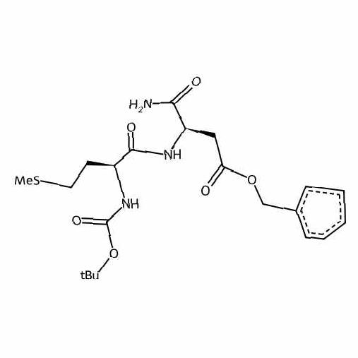 CSCC[C@H](NC(=O)OC(C)(C)C)C(=O)N[C@H](CC(=O)OCc1ccccc1)C(N)=O